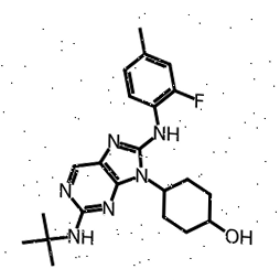 Cc1ccc(Nc2nc3cnc(NC(C)(C)C)nc3n2C2CCC(O)CC2)c(F)c1